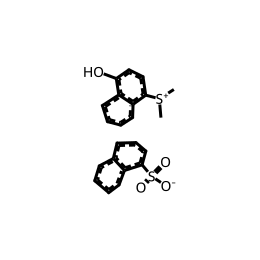 C[S+](C)c1ccc(O)c2ccccc12.O=S(=O)([O-])c1cccc2ccccc12